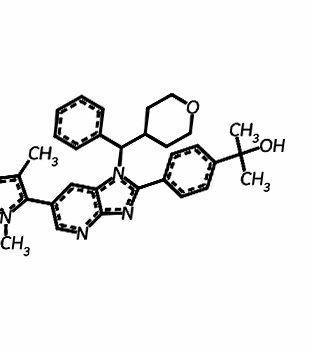 Cc1nnn(C)c1-c1cnc2nc(-c3ccc(C(C)(C)O)cc3)n(C(c3ccccc3)C3CCOCC3)c2c1